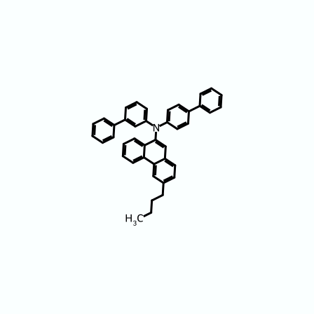 CCCCc1ccc2cc(N(c3ccc(-c4ccccc4)cc3)c3cccc(-c4ccccc4)c3)c3ccccc3c2c1